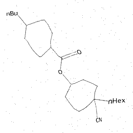 CCCCCCC1(C#N)CCC(OC(=O)C2CCC(CCCC)CC2)CC1